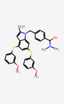 CN(C)C(O)c1ccc(Cn2c(C(=O)O)cc3c(Sc4cccc(OC(F)(F)F)c4)cc(Sc4cccc(OC(F)(F)F)c4)cc32)cc1